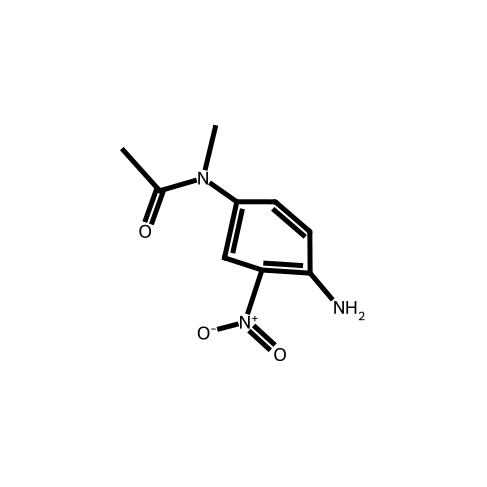 CC(=O)N(C)c1ccc(N)c([N+](=O)[O-])c1